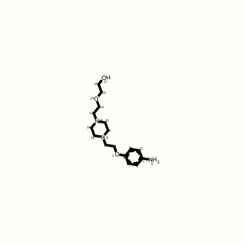 Nc1ccc(OCCN2CCN(CCOCCO)CC2)cc1